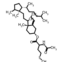 CC/C=C1/C[C@@H](OC(=O)C(CCSC)NC(C)=O)CC[C@]1(C)C(C)CC[C@@]1(C)C(C)CC[C@@H]1C(C)CCCC(C)C